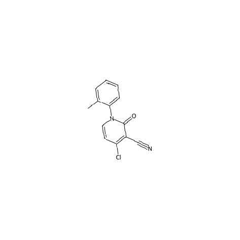 Cc1ccccc1-n1ccc(Cl)c(C#N)c1=O